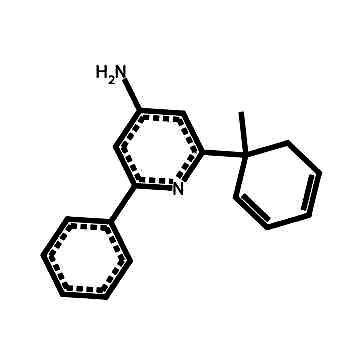 CC1(c2cc(N)cc(-c3ccccc3)n2)C=CC=CC1